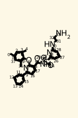 Cc1cc(C)c(Oc2nc(-c3ccccc3)ccc2C(=O)NS(=O)(=O)c2cccc(NCCN)n2)c(C)c1